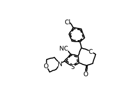 N#Cc1c(N2CCOCC2)sc2c1C(c1ccc(Cl)cc1)CCCC2=O